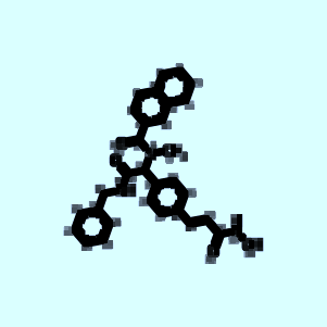 CN(C(=O)c1ccc2ccccc2c1)C(C(=O)NCc1ccccc1)c1ccc(/C=C/C(=O)NO)cc1